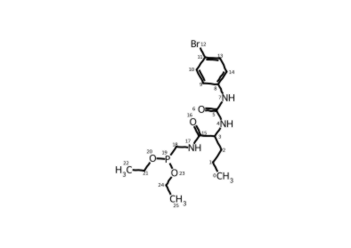 CCCC(NC(=O)Nc1ccc(Br)cc1)C(=O)NCP(OCC)OCC